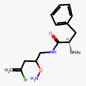 C=C(Br)CC(CNC(=O)[C@H](Cc1ccccc1)NC(C)=O)ON